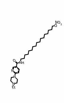 CCN1CCN(c2ccc(C(=O)NCCCCCCCCCCCCCCCCCO[N+](=O)[O-])cn2)CC1